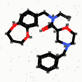 CC(C)CN(Cc1ccc2c(c1)OCCCO2)C(=O)[C@@H]1CN(Cc2ccccc2)CCO1